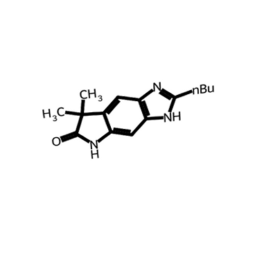 CCCCc1nc2cc3c(cc2[nH]1)NC(=O)C3(C)C